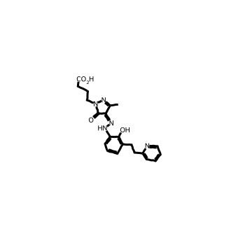 CC1=NN(CCCC(=O)O)C(=O)/C1=N\Nc1cccc(CCc2ccccn2)c1O